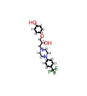 Oc1ccc(OC[C@@H](O)CN2CCN(c3ccc(C(F)(F)F)cc3)CC2)cc1